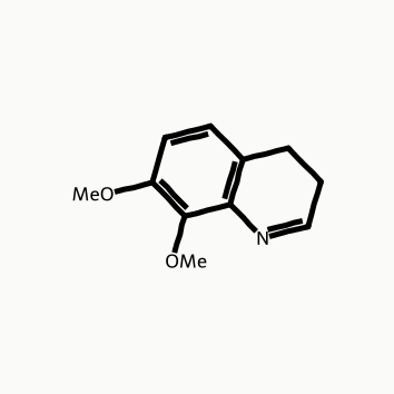 COc1ccc2c(c1OC)N=CCC2